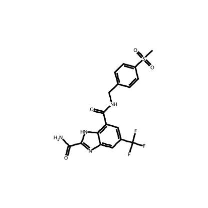 CS(=O)(=O)c1ccc(CNC(=O)c2cc(C(F)(F)F)cc3nc(C(N)=O)[nH]c23)cc1